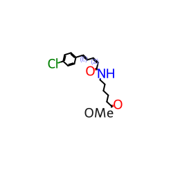 COC(=O)CCCCCNC(=O)/C=C\C=C\c1ccc(Cl)cc1